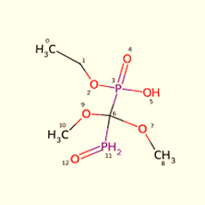 CCOP(=O)(O)C(OC)(OC)[PH2]=O